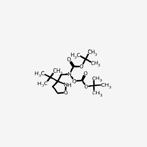 CC(C)(C)OC(=O)ON(CC1(C(C)(C)C)CCON1)C(=O)OC(C)(C)C